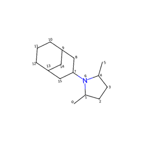 CC1CCC(C)N1C1CC2CCCC(C2)C1